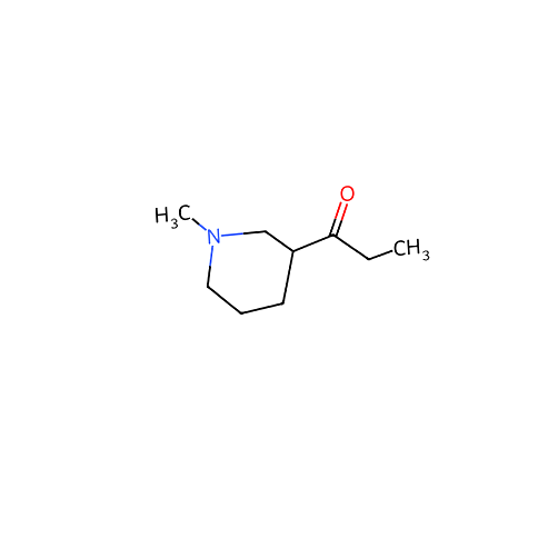 CCC(=O)C1CCCN(C)C1